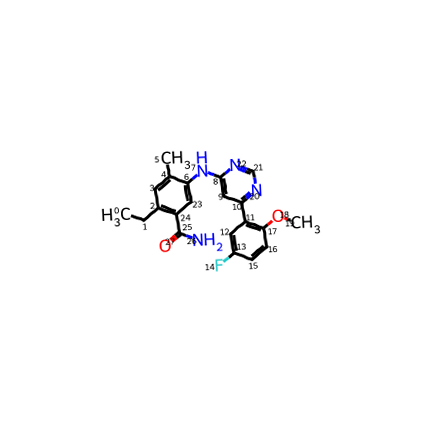 CCc1cc(C)c(Nc2cc(-c3cc(F)ccc3OC)ncn2)cc1C(N)=O